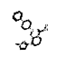 CCNC(=O)N1CCC[C@H](c2ccn(C)n2)[C@@H]1CO[C@H]1CC[C@@H](c2ccccc2)CC1